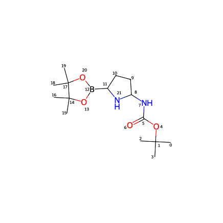 CC(C)(C)OC(=O)NC1CCC(B2OC(C)(C)C(C)(C)O2)N1